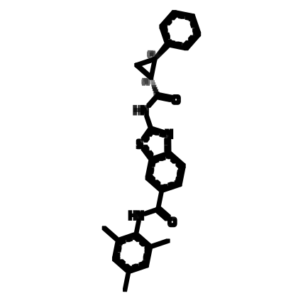 Cc1cc(C)c(NC(=O)c2ccc3nc(NC(=O)[C@@H]4C[C@H]4c4ccccc4)sc3c2)c(C)c1